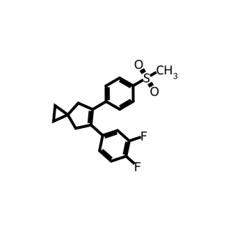 CS(=O)(=O)c1ccc(C2=C(c3ccc(F)c(F)c3)CC3(CC3)C2)cc1